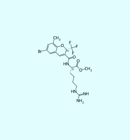 COC(=O)[C@H](CCCCNC(=N)N)NC(=O)C1=Cc2cc(Br)cc(C)c2O[C@@H]1C(F)(F)F